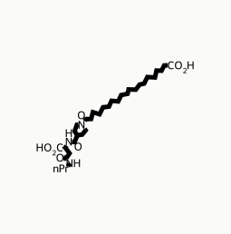 CCCNC(=O)C[C@@H](NC(=O)C1CCN(C(=O)CCCCCCCCCCCCCCCCCCC(=O)O)CC1)C(=O)O